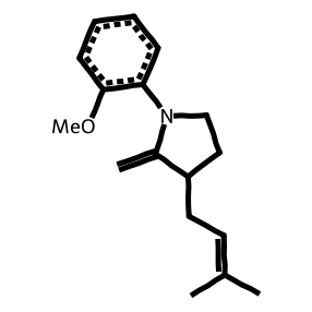 C=C1C(CC=C(C)C)CCN1c1ccccc1OC